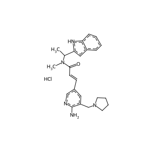 CC(c1cc2ccccc2[nH]1)N(C)C(=O)C=Cc1cnc(N)c(CN2CCCC2)c1.Cl